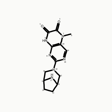 Cn1c(=O)c(=O)[nH]c2nc(N3CC4CCC(C3)N4)ncc21